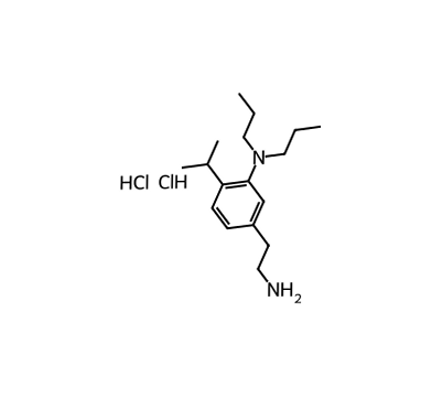 CCCN(CCC)c1cc(CCN)ccc1C(C)C.Cl.Cl